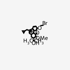 CO[C@H]1C2Oc3c(OCCBr)ccc4c3[C@@]23CCN(CC2CC2)C(C4)C3C[C@@H]1C(C)(C)O